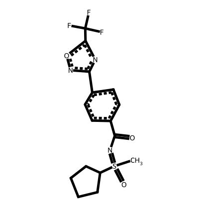 CS(=O)(=NC(=O)c1ccc(-c2noc(C(F)(F)F)n2)cc1)C1CCCC1